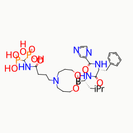 CC(C)C[C@@H](NC(=O)[C@@H](Cc1ccccc1)NC(=O)c1cnccn1)B1OCCCN(CCCC(=O)NC(P(O)O)P(=O)(O)O)CCCO1